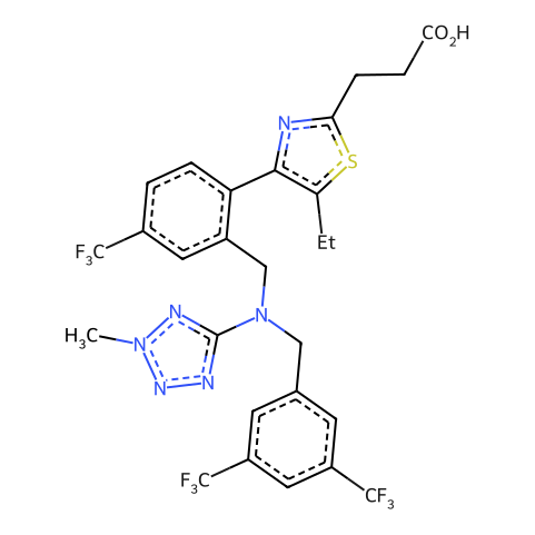 CCc1sc(CCC(=O)O)nc1-c1ccc(C(F)(F)F)cc1CN(Cc1cc(C(F)(F)F)cc(C(F)(F)F)c1)c1nnn(C)n1